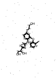 Cc1ncccc1Oc1cc(SCCO)cnc1Nc1nc(C(O)CO)ns1